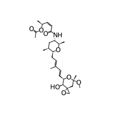 CO[C@]1(C)C[C@]2(CO2)[C@@H](O)[C@@H](/C=C/C(C)=C/C[C@@H]2O[C@H](C)[C@@H](NC(=O)/C=C\[C@H](C)OC(C)=O)C[C@@H]2C)O1